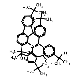 CCC1=[C]([Zr](=[C](c2ccc(C(C)(C)C)cc2)c2ccc(C(C)(C)C)cc2)[c]2c(C(C)(C)C)ccc3c2Cc2cc(C(C)(C)C)ccc2-3)C(CC)C=C1C(C)(C)C